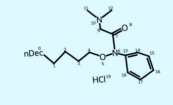 CCCCCCCCCCCCCCON(C(=O)CN(C)C)c1ccccc1.Cl